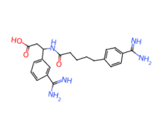 N=C(N)c1ccc(CCCCC(=O)NC(CC(=O)O)c2cccc(C(=N)N)c2)cc1